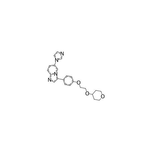 c1cn(-c2ccc3ncc(-c4ccc(OCCOC5CCOCC5)cc4)n3c2)cn1